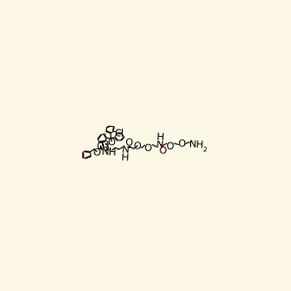 NCCOCCOCC(=O)NCCOCCOCC(=O)NCCCC[C@H](NC(=O)OCc1ccccc1)C(=O)OC(c1ccccc1)(c1ccccc1)c1ccccc1Cl